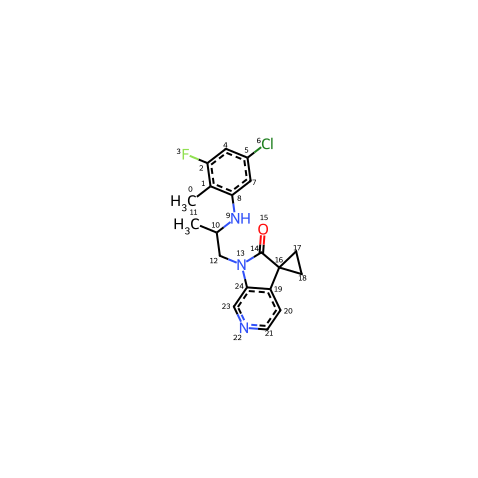 Cc1c(F)cc(Cl)cc1NC(C)CN1C(=O)C2(CC2)c2ccncc21